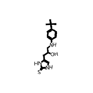 CC(C)(C)c1ccc(NCC(O)Cc2c[nH]c(=S)[nH]2)cc1